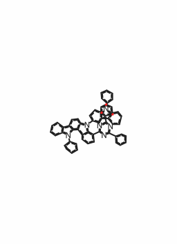 c1ccc(-c2nc(-c3ccccc3)nc(-c3cccc4c5c(ccc6c7ccccc7n(-c7ccccc7)c65)n(-c5ccc6c(c5)c5ccccc5n6-c5ccccc5)c34)n2)cc1